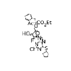 CCOC(=O)C(Cc1ccccc1)(OC[C@H]1O[C@@H](n2cnc3c(SC4CCCC4)nc(Cl)nc32)[C@@H](F)[C@@H]1O)C(C)=O